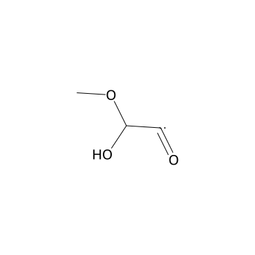 COC(O)[C]=O